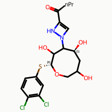 CCCC(=O)c1cn(C2C(O)[C@@H](Sc3ccc(Cl)c(Cl)c3)OCC(O)C[C@@H]2O)[nH]1